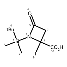 CC(C)(C)[Si](C)(C)N1C(=O)CC1(I)C(=O)O